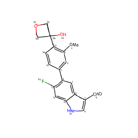 COc1cc(-c2cc3c(C=O)c[nH]c3cc2F)ccc1C1(O)COC1